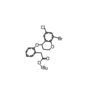 CC(C)(C)OC(=O)Cc1ccccc1OC1CCOc2c(Br)cc(Cl)cc21